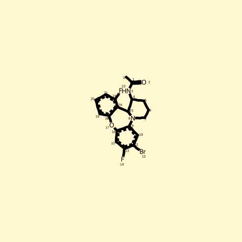 CC(=O)NC1CCCN2c3cc(Br)c(F)cc3Oc3cccc(F)c3C12